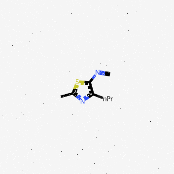 C=Nc1sc(C)nc1CCC